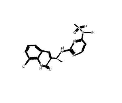 CC(C)N(c1ccnc(N[C@@H](C)c2cc3cccc(Cl)c3[nH]c2=O)n1)S(C)(=O)=O